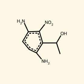 CC(O)c1c(N)ccc(N)c1[N+](=O)[O-]